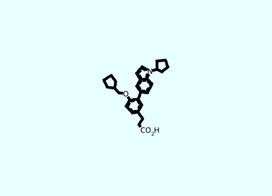 O=C(O)CCc1ccc(OCC2CCCC2)c(-c2ccc3c(ccn3C3CCCC3)c2)c1